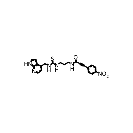 O=C(C#Cc1ccc([N+](=O)[O-])cc1)NCCCNC(=S)NCc1ccnc2[nH]ccc12